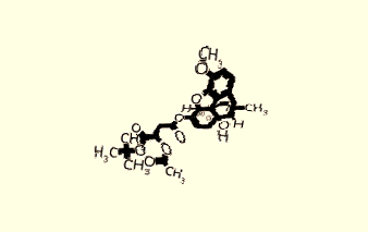 COc1ccc2c3c1O[C@H]1C(OC(=O)CC(OC(C)=O)C(=O)OC(C)(C)C)=CC[C@@]4(O)[C@@H](C2)N(C)CC[C@]314